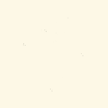 Cc1ccccc1S(=O)(=O)Nc1cncc(-c2ccc3nccc(-c4ccncc4)c3c2)c1